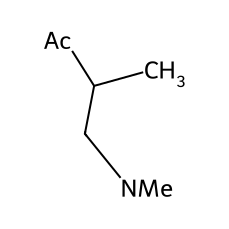 CNCC(C)C(C)=O